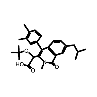 Cc1ccc(-c2c(C(OC(C)(C)C)C(=O)O)n(C)c(=O)c3cc(CC(C)C)ccc23)cc1C